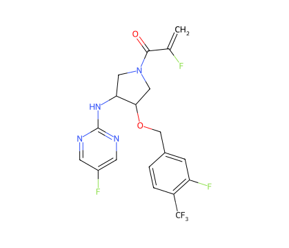 C=C(F)C(=O)N1CC(Nc2ncc(F)cn2)C(OCc2ccc(C(F)(F)F)c(F)c2)C1